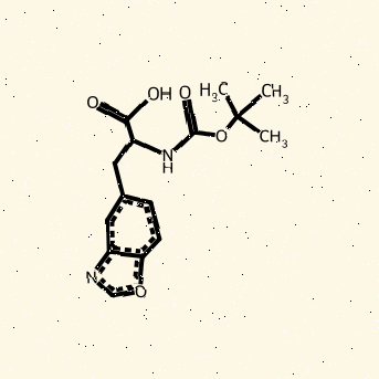 CC(C)(C)OC(=O)NC(Cc1ccc2ocnc2c1)C(=O)O